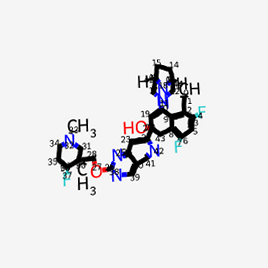 C#Cc1c(F)cc(F)c2c1C(N1C[C@H]3CC[C@@H](C1)N3)=CC(O)(c1cc3nc(OC[C@@]4(C)CN(C)CC[C@@H]4F)ncc3cn1)C2